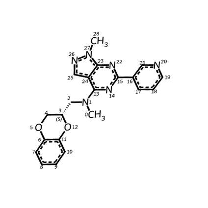 CN(C[C@H]1COc2ccccc2O1)c1nc(-c2cccnc2)nc2c1cnn2C